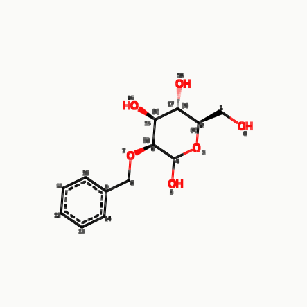 OC[C@H]1OC(O)[C@@H](OCc2ccccc2)[C@@H](O)[C@@H]1O